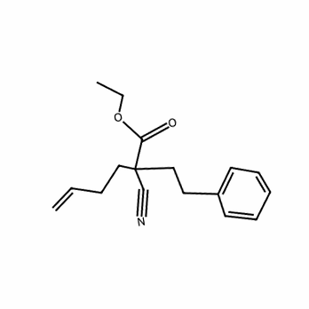 C=CCCC(C#N)(CCc1ccccc1)C(=O)OCC